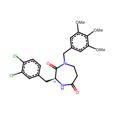 COc1cc(CN2CCC(=O)N[C@@H](Cc3ccc(Cl)c(Cl)c3)C2=O)cc(OC)c1OC